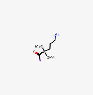 CO[Si](CCCN)(OC)C(=O)I